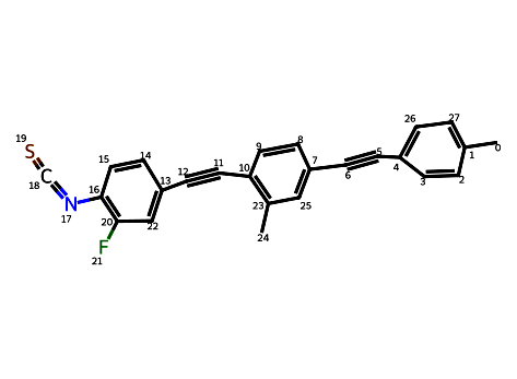 Cc1ccc(C#Cc2ccc(C#Cc3ccc(N=C=S)c(F)c3)c(C)c2)cc1